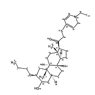 CCCO[C@H]1C[C@@]2(C)[C@@H](CC[C@@H]3[C@@H]2CC[C@]2(C)[C@@H](C(=O)CSC4=CCN(CI)C=C4)CC[C@@H]32)CC1O